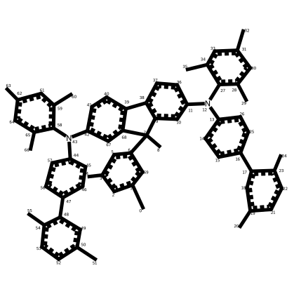 Cc1cc(C)cc(C2(C)c3cc(N(c4ccc(-c5cc(C)ccc5C)cc4)c4c(C)cc(C)cc4C)ccc3-c3ccc(N(c4ccc(-c5cc(C)ccc5C)cc4)c4c(C)cc(C)cc4C)cc32)c1